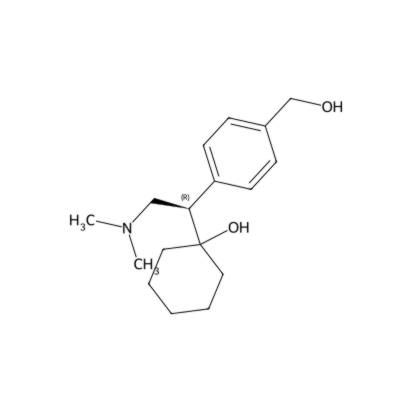 CN(C)C[C@@H](c1ccc(CO)cc1)C1(O)CCCCC1